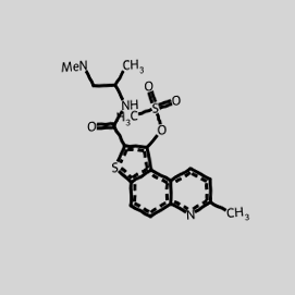 CNCC(C)NC(=O)c1sc2ccc3nc(C)ccc3c2c1OS(C)(=O)=O